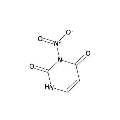 O=c1cc[nH]c(=O)n1[N+](=O)[O-]